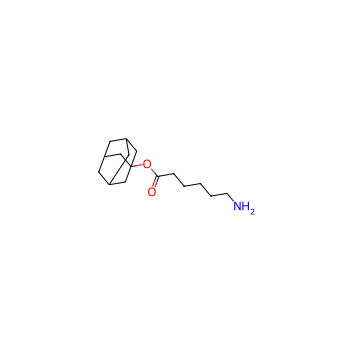 NCCCCCC(=O)OC12CC3CC(CC(C3)C1)C2